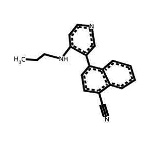 CCCNc1ccncc1-c1ccc(C#N)c2ccccc12